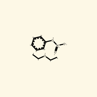 CCOCC.O=[N+]([O-])Oc1ccccc1